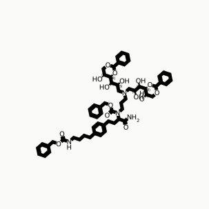 NC(=O)C(CCc1ccc(CCCCNC(=O)OCc2ccccc2)cc1)N(CCCN(C[C@H](O)[C@@H](O)[C@@H]1OC(c2ccccc2)OC[C@H]1O)C[C@H](O)[C@@H](O)[C@@H]1OC(c2ccccc2)OC[C@H]1O)C(=O)OCc1ccccc1